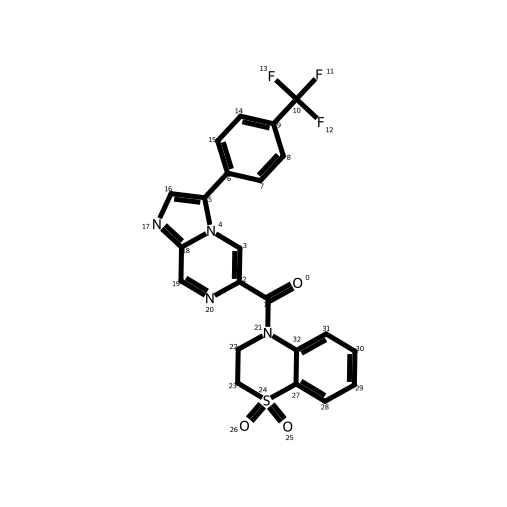 O=C(c1cn2c(-c3ccc(C(F)(F)F)cc3)cnc2cn1)N1CCS(=O)(=O)c2ccccc21